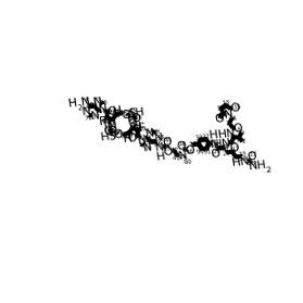 CC(C)[C@H](NC(=O)CCN1C(=O)C=CC1=O)C(=O)N[C@@H](CCCCNC(N)=O)C(=O)Nc1ccc(COC(=O)N(C)CCOC(=O)Nc2ncnc3c2ncn3[C@@H]2O[C@@H]3CO[P@@](=O)(S)O[C@H]4[C@@H](F)[C@H](n5cnc6c(N)ncnc65)O[C@@H]4CO[P@](=O)(S)O[C@H]3[C@H]2F)cc1